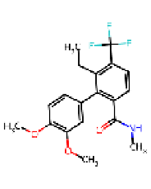 CCc1c(C(F)(F)F)ccc(C(=O)NC)c1-c1ccc(OC)c(OC)c1